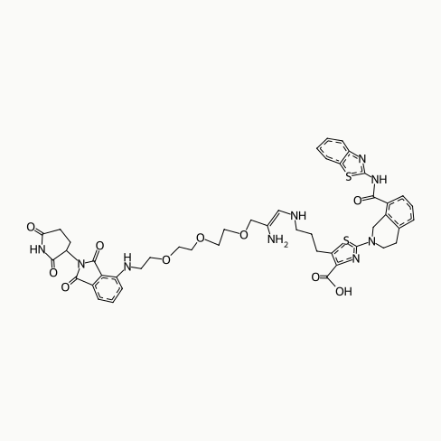 N/C(=C\NCCCc1sc(N2CCc3cccc(C(=O)Nc4nc5ccccc5s4)c3C2)nc1C(=O)O)COCCOCCOCCNc1cccc2c1C(=O)N(C1CCC(=O)NC1=O)C2=O